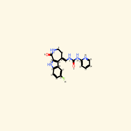 O=C(NC=C1CCNC(=O)c2[nH]c3ccc(F)cc3c21)Nc1ccccn1